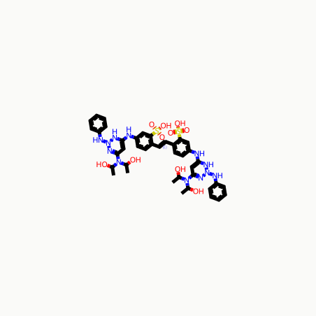 CC(O)N(C1=NN(Nc2ccccc2)NC(Nc2ccc(/C=C/c3ccc(NC4=CC(N(C(C)O)C(C)O)=NN(Nc5ccccc5)N4)cc3S(=O)(=O)O)c(S(=O)(=O)O)c2)=C1)C(C)O